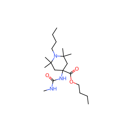 CCCCOC(=O)C1(NC(=O)NC)CC(C)(C)N(CCCC)C(C)(C)C1